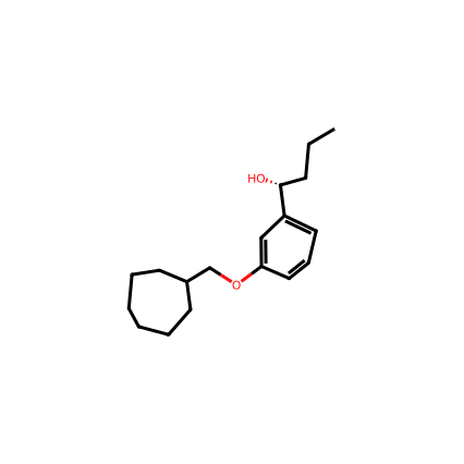 CCC[C@@H](O)c1cccc(OCC2CCCCCC2)c1